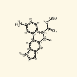 C[C@H](NC(=O)OC(C)(C)C)c1nc2ccn(C)c2cc1-c1ccnc(N)c1